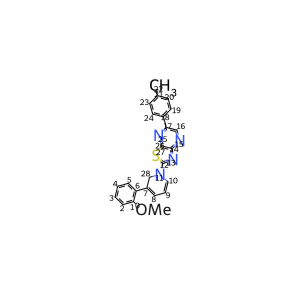 COc1ccccc1C1=CC=CN(c2nc3ncc(-c4ccc(C)cc4)nc3s2)C1